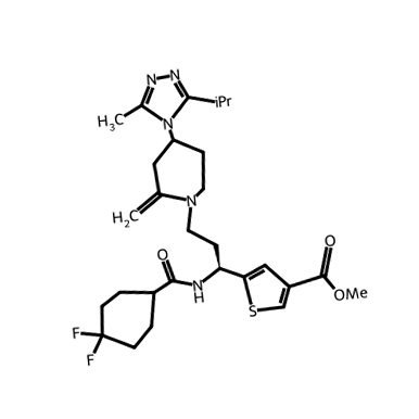 C=C1CC(n2c(C)nnc2C(C)C)CCN1CC[C@H](NC(=O)C1CCC(F)(F)CC1)c1cc(C(=O)OC)cs1